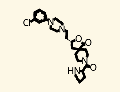 O=C(C1CCCN1)N1CCC2(CC1)C[C@H](CCN1CCN(c3cccc(Cl)c3)CC1)OC2=O